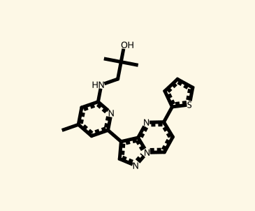 Cc1cc(NCC(C)(C)O)nc(-c2cnn3ccc(-c4cccs4)nc23)c1